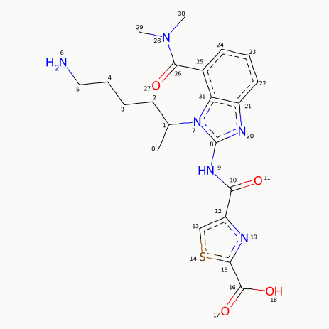 CC(CCCCN)n1c(NC(=O)c2csc(C(=O)O)n2)nc2cccc(C(=O)N(C)C)c21